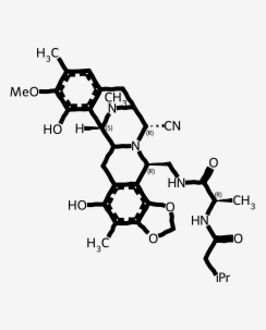 COc1c(C)cc2c(c1O)[C@H]1C3Cc4c(O)c(C)c5c(c4[C@H](CNC(=O)[C@@H](C)NC(=O)CC(C)C)N3[C@@H](C#N)C(C2)N1C)OCO5